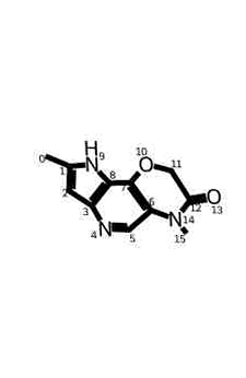 Cc1cc2ncc3c(c2[nH]1)OCC(=O)N3C